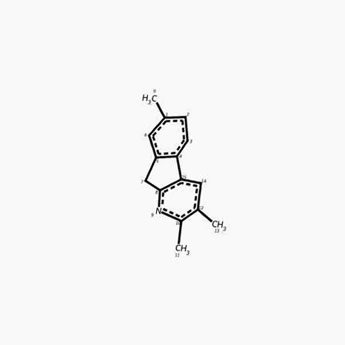 Cc1ccc2c(c1)Cc1nc(C)c(C)cc1-2